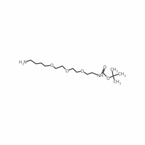 CC(C)(C)OC(=O)NCCOCCOCCOCCCCN